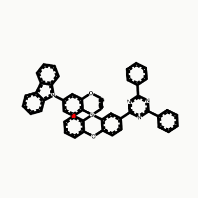 c1ccc(-c2nc(-c3ccccc3)nc(-c3ccc4c(c3)[Si]3(c5ccccc5Oc5cc(-n6c7ccccc7c7ccccc76)ccc53)c3ccccc3O4)n2)cc1